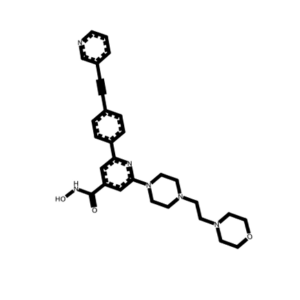 O=C(NO)c1cc(-c2ccc(C#Cc3cccnc3)cc2)nc(N2CCN(CCN3CCOCC3)CC2)c1